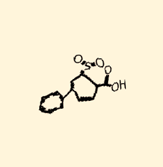 O=C(O)C1C=CC(c2ccccc2)=CC1=S(=O)=O